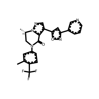 Cc1cc(N2C[C@H](C)n3ncc(-c4cc(-c5cccnc5)no4)c3C2=O)ccc1C(F)(F)F